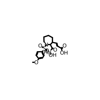 COc1ccc(S(=O)(=O)N2CCCCC(C=CC(=O)O)C2C(=O)NO)cc1